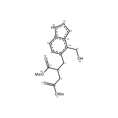 COC(=O)CC(Cc1ccc2[nH]ncc2c1CO)C(=O)OC